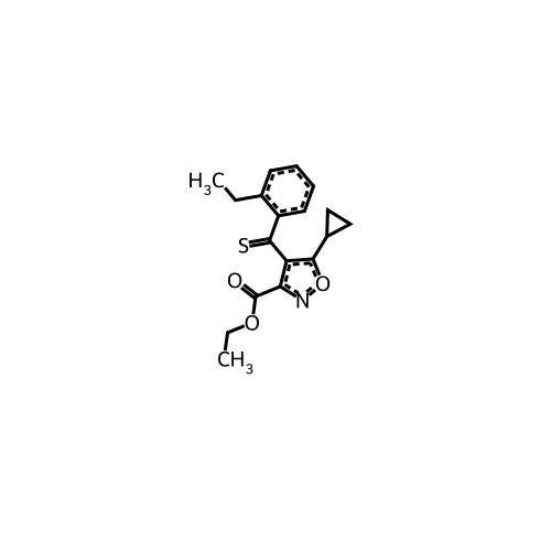 CCOC(=O)c1noc(C2CC2)c1C(=S)c1ccccc1CC